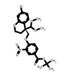 COC(OC)[C@]1(COc2ccc(C(=O)OC(C)(C)C)cc2[N+](=O)[O-])CCOc2cc(Cl)ccc21